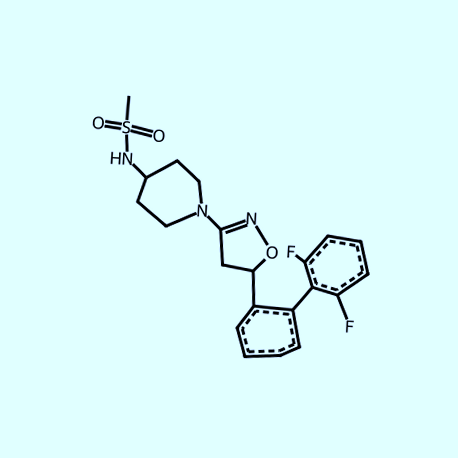 CS(=O)(=O)NC1CCN(C2=NOC(c3ccccc3-c3c(F)cccc3F)C2)CC1